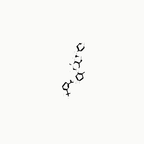 Cc1ccc(NC(=O)c2cccc(C(F)(F)F)c2)cc1N1Cc2cnc(Nc3ccncc3)nc2N(C)C1=O